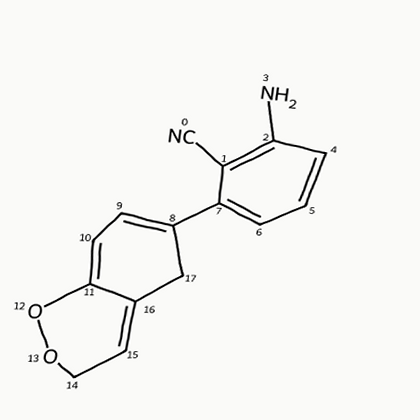 N#Cc1c(N)cccc1C1=CC=C2OOCC=C2C1